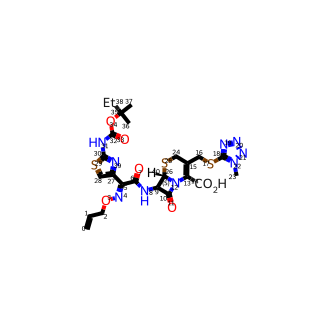 C=CCON=C(C(=O)NC1C(=O)N2C(C(=O)O)=C(CSc3nnnn3C)CS[C@@H]12)c1csc(NC(=O)OC(C)(C)CC)n1